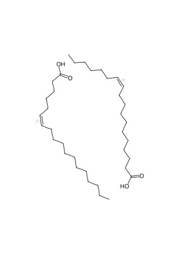 CCCCCC/C=C\CCCCCCCCCC(=O)O.CCCCCCCCCCC/C=C\CCCCC(=O)O